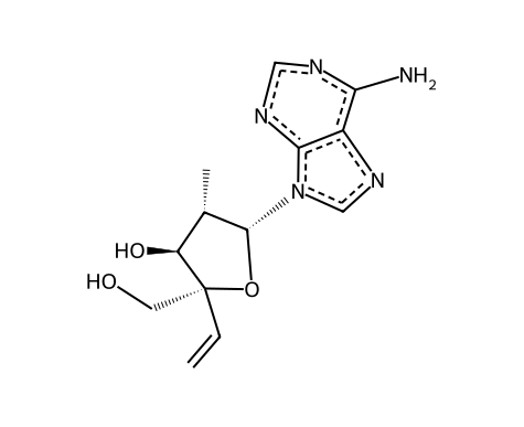 C=C[C@]1(CO)O[C@@H](n2cnc3c(N)ncnc32)[C@@H](C)[C@@H]1O